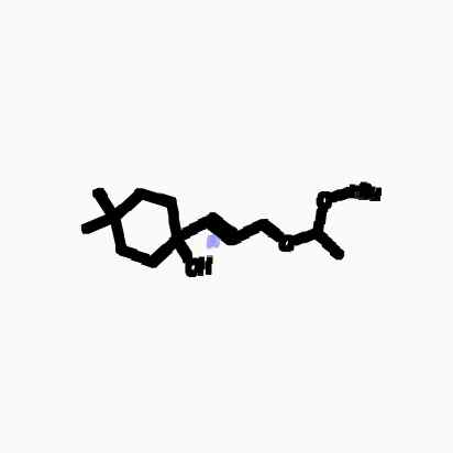 CCCCOC(C)OC/C=C/C1(O)CCC(C)(C)CC1